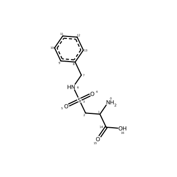 NC(CS(=O)(=O)NCc1ccccc1)C(=O)O